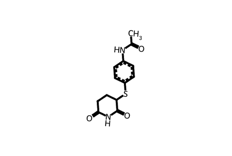 CC(=O)Nc1ccc(SC2CCC(=O)NC2=O)cc1